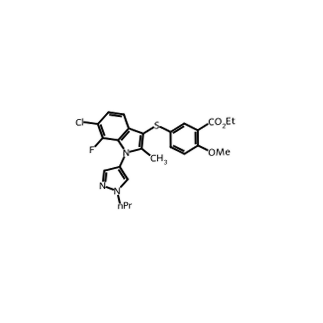 CCCn1cc(-n2c(C)c(Sc3ccc(OC)c(C(=O)OCC)c3)c3ccc(Cl)c(F)c32)cn1